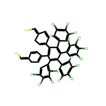 SC=C1C=CC(c2c(C3=CCC(=CS)C=C3)c(-c3cc(Cl)c(Cl)c(Cl)c3Cl)c(-c3cc(Cl)c(Cl)c(Cl)c3Cl)c(-c3cc(Cl)c(Cl)c(Cl)c3Cl)c2-c2cc(Cl)c(Cl)c(Cl)c2Cl)=CC1